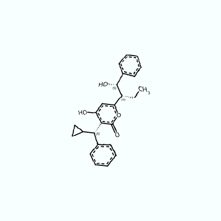 CC[C@H](c1cc(O)c([C@H](c2ccccc2)C2CC2)c(=O)o1)[C@H](O)c1ccccc1